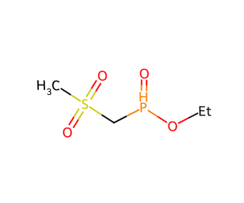 CCO[PH](=O)CS(C)(=O)=O